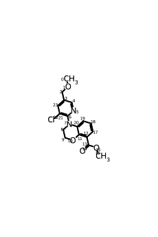 COCc1cnc(N2CCOc3c(C(=O)OC)cccc32)c(Cl)c1